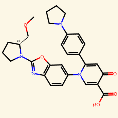 COC[C@H]1CCCN1c1nc2ccc(-n3cc(C(=O)O)c(=O)cc3-c3ccc(N4CCCC4)cc3)cc2o1